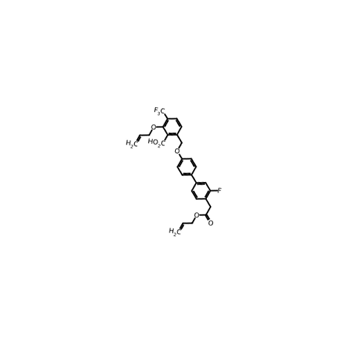 C=CCOC(=O)Cc1ccc(-c2ccc(OCc3ccc(C(F)(F)F)c(OCC=C)c3C(=O)O)cc2)cc1F